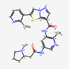 COc1ncccc1-c1cn2ncc(C(=O)Nc3cc(NC(=O)CC4CCCN4C(C)C)cnc3C)c2s1